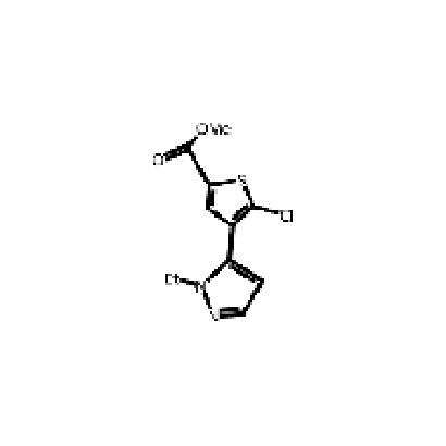 CCn1nccc1-c1cc(C(=O)OC)sc1Cl